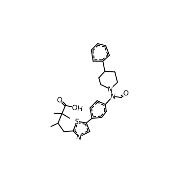 CC(Cc1ncc(-c2ccc(N(C=O)N3CCC(c4ccccc4)CC3)cc2)s1)C(C)(C)C(=O)O